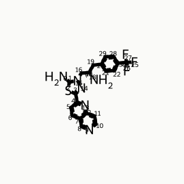 NC1SC(c2ccc3cnccc3n2)=NN1C[C@H](N)Cc1ccc(C(F)(F)F)cc1